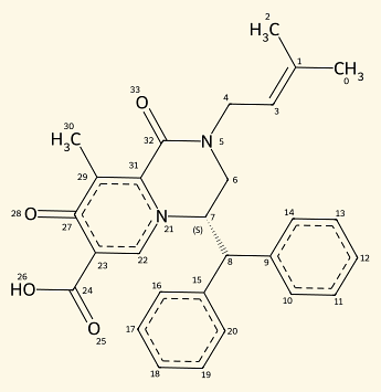 CC(C)=CCN1C[C@H](C(c2ccccc2)c2ccccc2)n2cc(C(=O)O)c(=O)c(C)c2C1=O